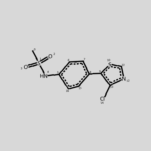 CS(=O)(=O)Nc1ccc(-c2scnc2Cl)cc1